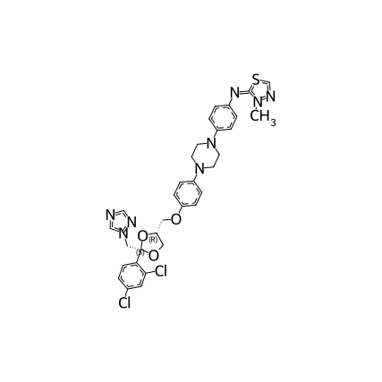 Cn1ncsc1=Nc1ccc(N2CCN(c3ccc(OC[C@@H]4CO[C@@](Cn5cncn5)(c5ccc(Cl)cc5Cl)O4)cc3)CC2)cc1